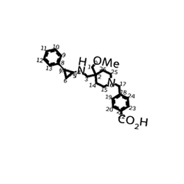 COCC1(CN[C@@H]2C[C@H]2c2ccccc2)CCN(Cc2ccc(C(=O)O)cc2)CC1